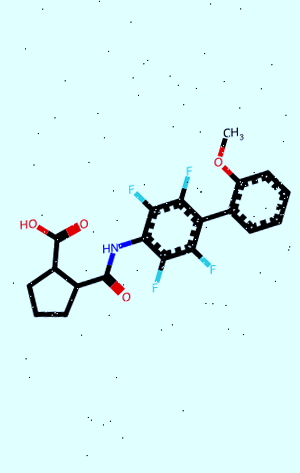 COc1ccccc1-c1c(F)c(F)c(NC(=O)C2CCCC2C(=O)O)c(F)c1F